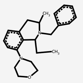 CCC1c2c(cccc2N2CCOCC2)CC(C)N1Cc1ccccc1